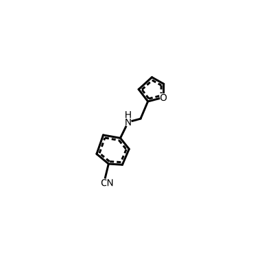 N#Cc1ccc(NCc2ccco2)cc1